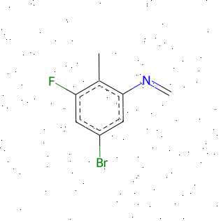 C=Nc1cc(Br)cc(F)c1C